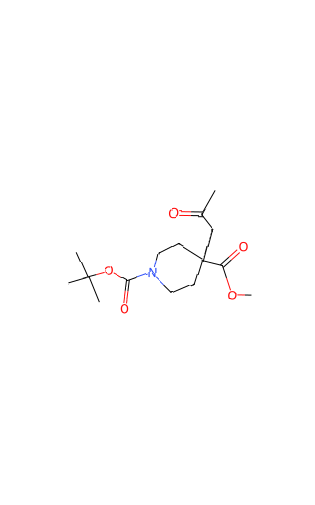 COC(=O)C1(CC(C)=O)CCN(C(=O)OC(C)(C)C)CC1